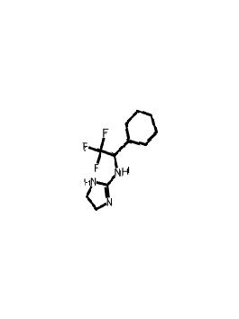 FC(F)(F)C(NC1=NCCN1)C1CCCCC1